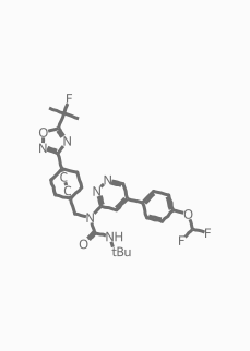 CC(C)(C)NC(=O)N(CC12CCC(c3noc(C(C)(C)F)n3)(CC1)CC2)c1cc(-c2ccc(OC(F)F)cc2)cnn1